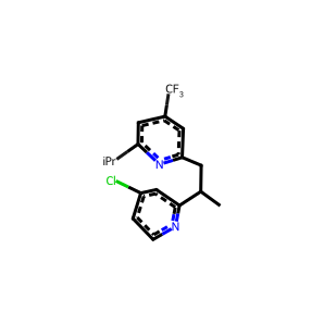 CC(C)c1cc(C(F)(F)F)cc(CC(C)c2cc(Cl)ccn2)n1